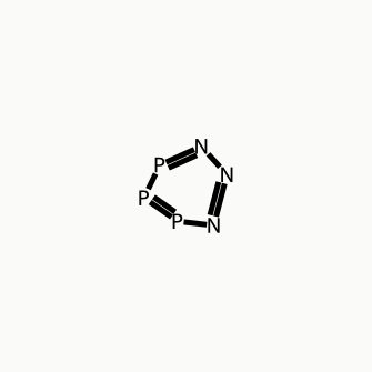 n1npppn1